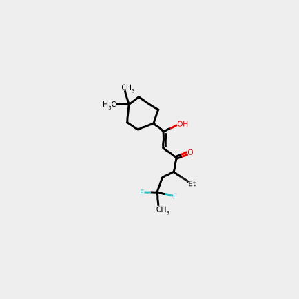 CCC(CC(C)(F)F)C(=O)/C=C(\O)C1CCC(C)(C)CC1